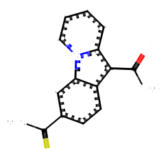 CNC(=S)c1ccc2c(C(=O)OC)c3ccccn3c2c1